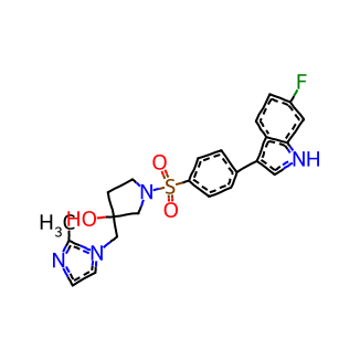 Cc1nccn1CC1(O)CCN(S(=O)(=O)c2ccc(-c3c[nH]c4cc(F)ccc34)cc2)C1